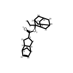 CCC1(OC(=O)C2CC3C4C=CC(C4)C3C2)C2CC3CC(C2)CC1C3